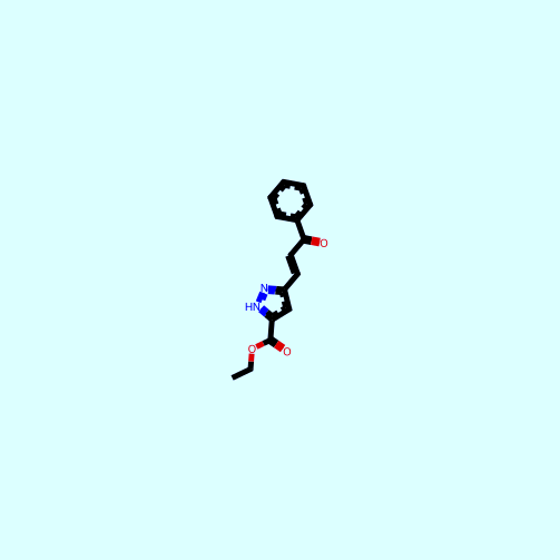 CCOC(=O)c1cc(C=CC(=O)c2ccccc2)n[nH]1